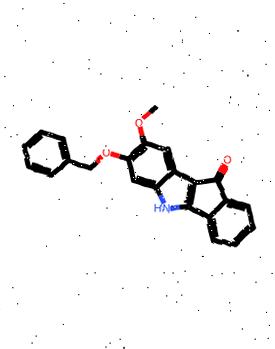 COc1cc2c3c([nH]c2cc1OCc1ccccc1)-c1ccccc1C3=O